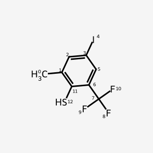 Cc1cc(I)cc(C(F)(F)F)c1S